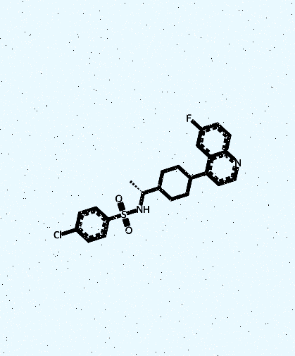 C[C@@H](NS(=O)(=O)c1ccc(Cl)cc1)C1CCC(c2ccnc3ccc(F)cc23)CC1